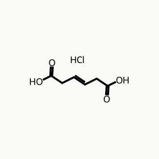 Cl.O=C(O)CC=CCC(=O)O